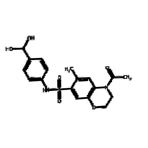 CC(=O)N1CCOc2cc(S(=O)(=O)Nc3ccc(C(O)O)cc3)c(C)cc21